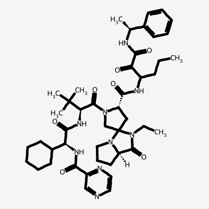 CCCC(NC(=O)[C@@H]1CC2(CN1C(=O)[C@@H](NC(=O)[C@@H](NC(=O)c1cnccn1)C1CCCCC1)C(C)(C)C)N(CC)C(=O)[C@H]1CCCN12)C(=O)C(=O)N[C@@H](C)c1ccccc1